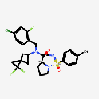 CN=[S@](=O)(c1ccc(C)cc1)N1CCC[C@H]1C(=O)N(Cc1ccc(Cl)cc1F)C1CC2(C1)CC2(F)F